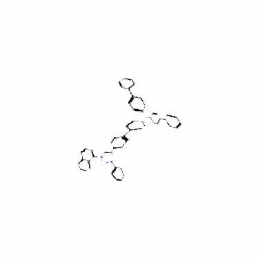 c1ccc(-c2ccc(N(c3ccc(-c4ccccc4)cc3)c3ccc(-c4ccc(-c5cc(-c6cccc7ccccc67)nc(-c6ccccc6)n5)cc4)cc3)cc2)cc1